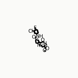 COC(=O)C1Cn2nc3c(c2C(=O)N(C)O1)CN(C(=O)Nc1ccc(F)c(Cl)c1)CC3